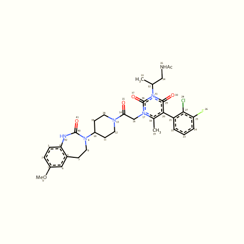 COc1ccc2c(c1)CCN(C1CCN(C(=O)Cn3c(C)c(-c4cccc(F)c4Cl)c(=O)n(C(C)CNC(C)=O)c3=O)CC1)C(=O)N2